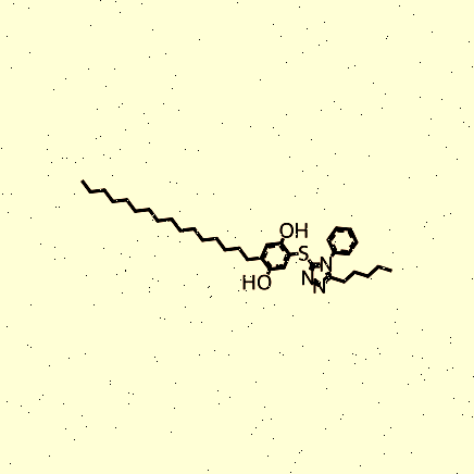 CCCCCCCCCCCCCCCCc1cc(O)c(Sc2nnc(CCCCC)n2-c2ccccc2)cc1O